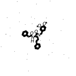 COc1ccc(CN2C(=O)C(NC(=O)Cc3ccccc3)C2C=Cc2ccccc2)cc1OC